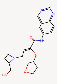 O=C(Nc1ccc2ncncc2c1)C(=CCN1CCC1CO)OC1CCOC1